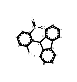 Cc1cccc([N+](=O)[O-])c1C1c2ccccc2-c2ccccc21